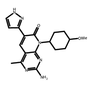 COC1CCC(n2c(=O)c(-c3cc[nH]n3)cc3c(C)nc(N)nc32)CC1